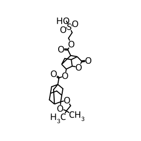 CC1(C)COC2(O1)C1CC3CC2CC(C(=O)OC2C4CC5C2OC(=O)C5C4C(=O)OCCS(=O)(=O)O)(C3)C1